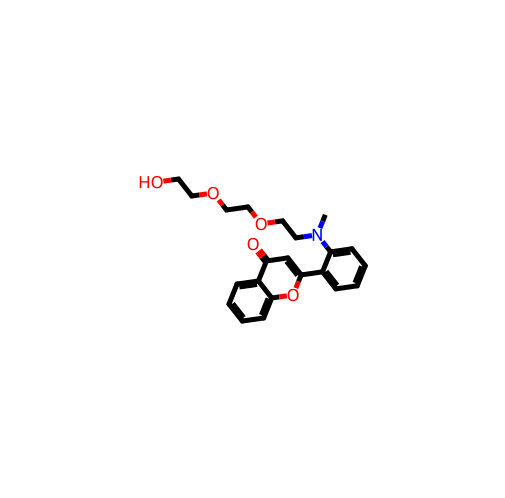 CN(CCOCCOCCO)c1ccccc1-c1cc(=O)c2ccccc2o1